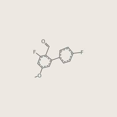 COc1cc(F)c(C=O)c(-c2ccc(F)cc2)c1